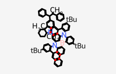 C=C(c1ccccc1)C(c1ccccc1)c1ccc2c(c1)C1(C)CCCCC1(C)N2c1cc2c3c(c1)N(c1ccc(C(C)(C)C)cc1-c1ccccc1)c1cc(-c4ccccc4)ccc1B3c1cc(C(C)(C)C)ccc1N2c1ccc(C(C)(C)C)cc1-c1ccccc1